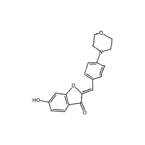 O=C1/C(=C/c2ccc(N3CCOCC3)cc2)Oc2cc(O)ccc21